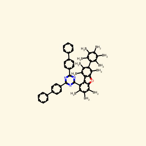 Bc1c(B)c(B)c(-c2c(B)c(B)c3c(oc4c(B)c(B)c(B)c(-c5nc(-c6ccc(-c7ccccc7)cc6)nc(-c6ccc(-c7ccccc7)cc6)n5)c43)c2B)c(B)c1B